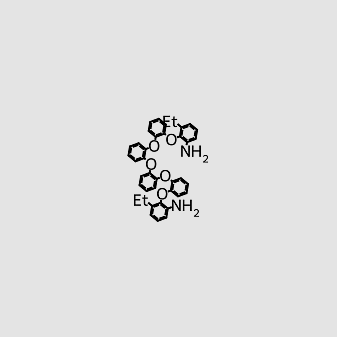 CCc1cccc(N)c1Oc1ccccc1Oc1ccccc1Oc1ccccc1Oc1ccccc1Oc1c(N)cccc1CC